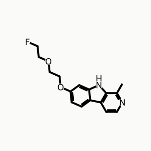 Cc1nccc2c1[nH]c1cc(OCCOCCF)ccc12